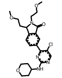 COCCC1c2ccc(-c3nc(NC4CCOCC4)ncc3Cl)cc2C(=O)N1CCOC